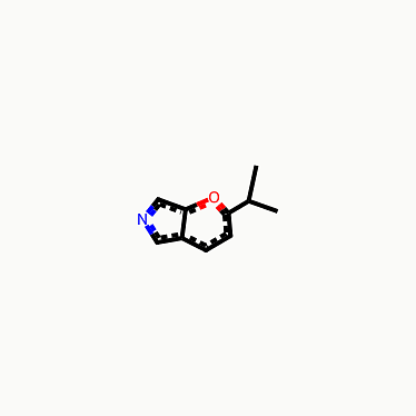 CC(C)c1ccc2cncc-2o1